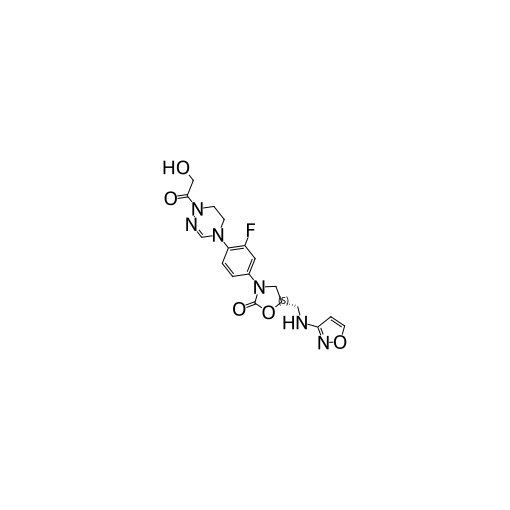 O=C(CO)N1CCN(c2ccc(N3C[C@H](CNc4ccon4)OC3=O)cc2F)C=N1